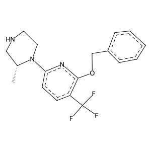 C[C@@H]1CNCCN1c1ccc(C(F)(F)F)c(OCc2ccccc2)n1